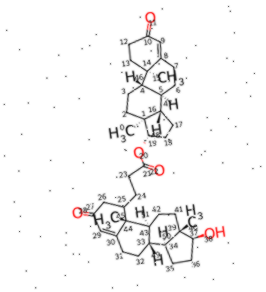 C[C@]12CC[C@H]3[C@@H](CCC4=CC(=O)CC[C@@]43C)[C@@H]1CC[C@@H]2OC(=O)CCC1CC(=O)C=C2CC[C@H]3[C@@H]4CC[C@H](O)[C@@]4(C)CC[C@@H]3[C@]21C